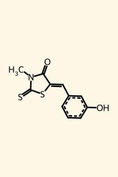 CN1C(=O)/C(=C/c2cccc(O)c2)SC1=S